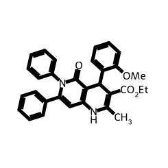 CCOC(=O)C1=C(C)Nc2cc(-c3ccccc3)n(-c3ccccc3)c(=O)c2C1c1ccccc1OC